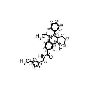 CCN1c2ccc(C(=O)NCc3ccc(C)o3)cc2C2NCCCC2C1c1ccccc1